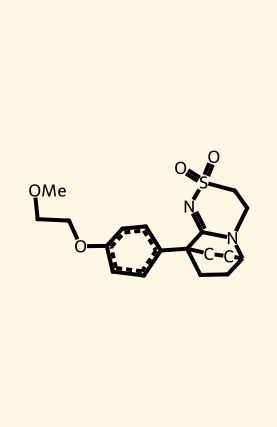 COCCOc1ccc(C23CCC(CC2)N2CCS(=O)(=O)N=C23)cc1